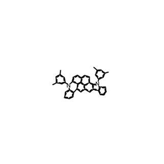 Cc1cc(C)cc(N2c3ccccc3-c3cc4cc5c6ccccc6n(-c6cc(C)cc(C)c6)c5c5ccc6ccc2c3c6c45)c1